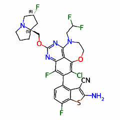 N#Cc1c(N)sc2c(F)ccc(-c3c(Cl)c4c5c(nc(OC[C@@]67CCCN6C[C@H](F)C7)nc5c3F)N(CC(F)F)CCO4)c12